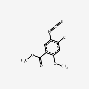 COC(=O)c1cc(N=C=S)c(Cl)cc1OC